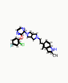 Cc1c(CCN2CC3CN(c4nccnc4Oc4ccc(F)cc4Cl)CC3C2)ccc2[nH]c(C#N)cc12